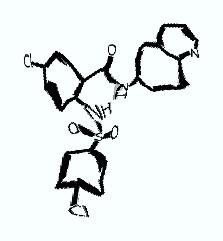 O=C(Nc1ccc2ncccc2c1)c1cc(Cl)ccc1NS(=O)(=O)c1ccc(Cl)cc1